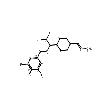 C/C=C/C1CCC(C(OCc2cc(F)c(C(F)(F)F)c(F)c2)C(F)F)CC1